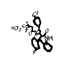 O=C(CC(F)(F)C(=O)O)N1N=C(c2c(-c3cccc(F)c3)c3ccccc3[nH]c2=O)CC1c1ccc(Cl)cc1